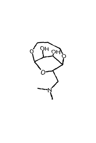 CN(C)CC1OC2OCCCOC1C(O)C2O